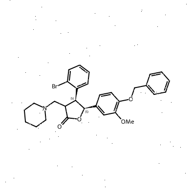 COc1cc([C@H]2OC(=O)C(CN3CCCCC3)[C@H]2c2ccccc2Br)ccc1OCc1ccccc1